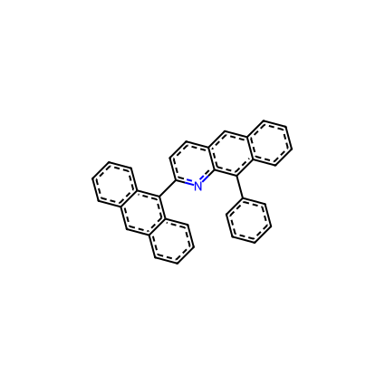 c1ccc(-c2c3ccccc3cc3ccc(-c4c5ccccc5cc5ccccc45)nc23)cc1